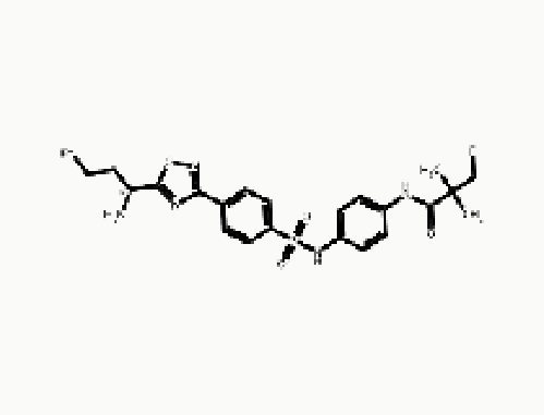 CC(C)CC[C@H](N)c1nc(-c2ccc(S(=O)(=O)Nc3ccc(NC(=O)C(C)(C)CF)cc3)cc2)no1